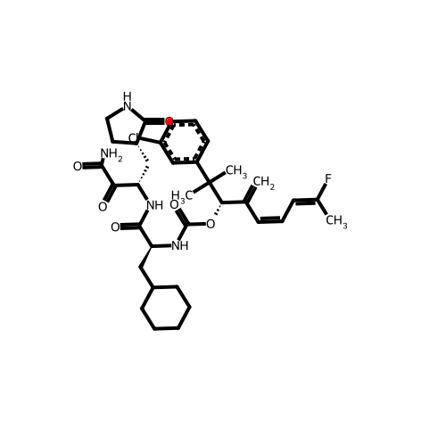 C=C(/C=C\C=C(/C)F)[C@H](OC(=O)N[C@@H](CC1CCCCC1)C(=O)N[C@@H](C[C@@H]1CCNC1=O)C(=O)C(N)=O)C(C)(C)c1cccc(Cl)c1